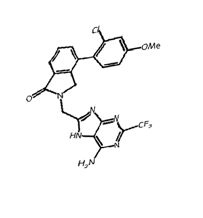 COc1ccc(-c2cccc3c2CN(Cc2nc4nc(C(F)(F)F)nc(N)c4[nH]2)C3=O)c(Cl)c1